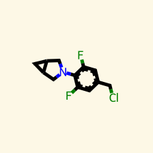 Fc1cc(CCl)cc(F)c1N1CC2CC2C1